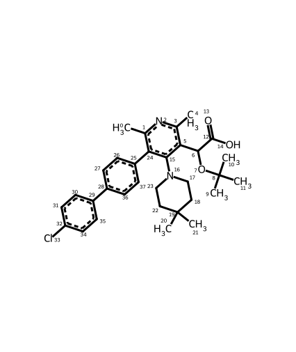 Cc1nc(C)c(C(OC(C)(C)C)C(=O)O)c(N2CCC(C)(C)CC2)c1-c1ccc(-c2ccc(Cl)cc2)cc1